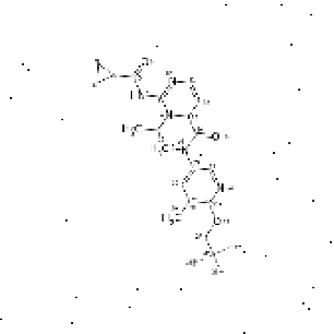 CCN1C(NC(=O)C2CC2)=NC=CC1C(=O)N(C)c1cnc(OCC(F)(F)F)c(C)c1